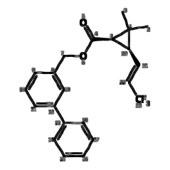 CC1(C)[C@H](C(=O)OCc2cccc(-c3ccccc3)c2)[C@@H]1C=CC(F)(F)F